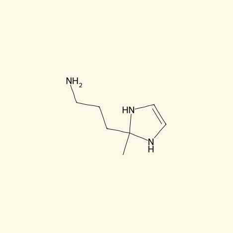 CC1(CCCN)NC=CN1